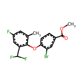 COC(=O)c1ccc(Oc2c(C)cc(F)cc2C(F)F)c(Br)c1